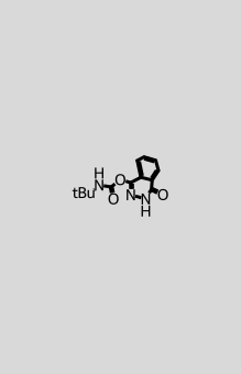 CC(C)(C)NC(=O)Oc1n[nH]c(=O)c2ccccc12